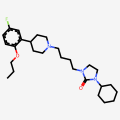 CCCOc1ccc(F)cc1C1CCN(CCCCN2CCN(C3CCCCC3)C2=O)CC1